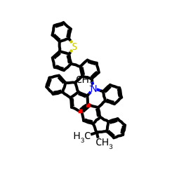 CC1(C)c2ccccc2-c2c(-c3ccccc3N3c4cccc5c4C(C)(c4ccccc4-5)c4c(-c5cccc6c5sc5ccccc56)cccc43)cccc21